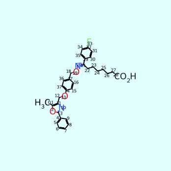 Cc1oc(-c2ccccc2)nc1COc1ccc(CO/N=C(\CCCCCCC(=O)O)c2ccc(F)cc2)cc1